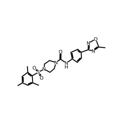 Cc1cc(C)c(S(=O)(=O)N2CCN(C(=O)Nc3ccc(-c4noc(C)n4)cc3)CC2)c(C)c1